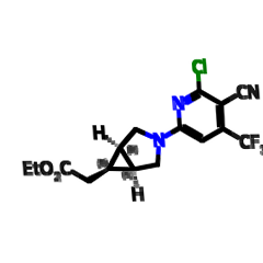 CCOC(=O)C[C@H]1[C@H]2CN(c3cc(C(F)(F)F)c(C#N)c(Cl)n3)C[C@@H]12